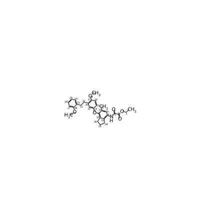 CCOC(=O)C(=O)Nc1cc(C)c(Oc2ccc(OC)c(CCc3ccccc3OC)c2)c2c1CCC2